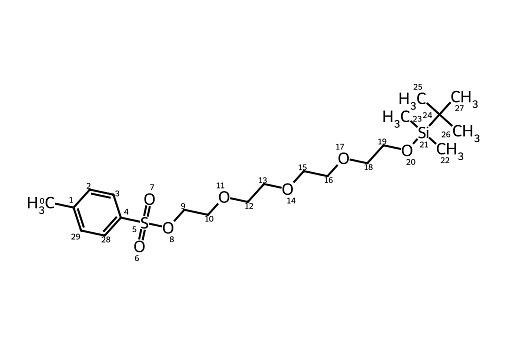 Cc1ccc(S(=O)(=O)OCCOCCOCCOCCO[Si](C)(C)C(C)(C)C)cc1